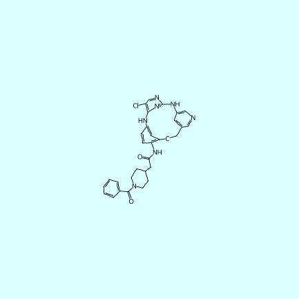 O=C(CC1CCN(C(=O)c2ccccc2)CC1)Nc1ccc2cc1CCc1cncc(c1)Nc1ncc(Cl)c(n1)N2